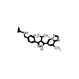 Cc1cc(-c2[nH]nc(-c3ccc(CNC4CC4)cc3)c2C(C)C)cn2ncnc12